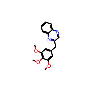 COc1cc(Cc2cnc3ccccc3n2)cc(OC)c1OC